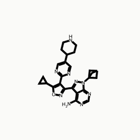 Nc1ncnc2c1c(-c1noc(C3CC3)c1-c1ncc(C3CCNCC3)cn1)nn2C12CC(C1)C2